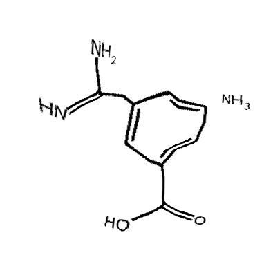 N.N=C(N)c1cccc(C(=O)O)c1